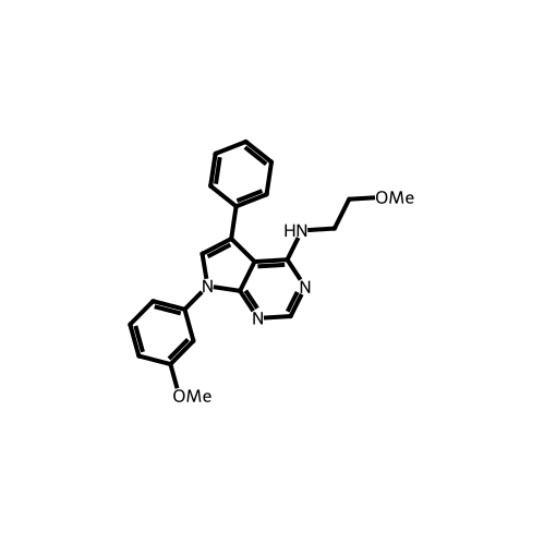 COCCNc1ncnc2c1c(-c1ccccc1)cn2-c1cccc(OC)c1